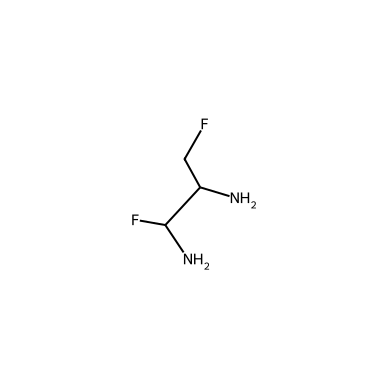 NC(F)C(N)CF